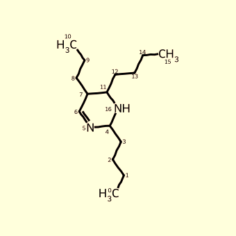 CCCCC1N=CC(CCC)C(CCCC)N1